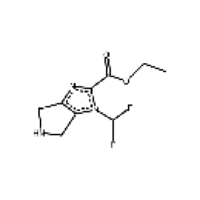 CCOC(=O)c1nc2c(n1C(F)F)CNC2